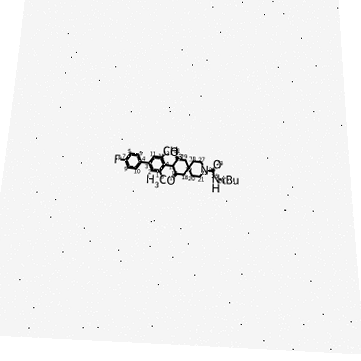 Cc1cc(-c2ccc(F)cc2)cc(C)c1C1C(=O)CC2(CCN(C(=O)NC(C)(C)C)CC2)CC1=O